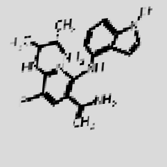 C=C(N)c1cc(F)c(NC(C)[C@H](C)N)nc1Nc1cccc2c1ccn2CC